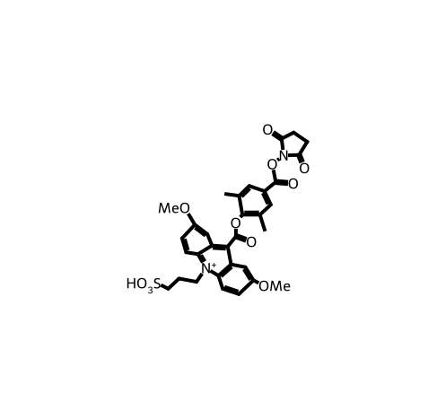 COc1ccc2c(c1)c(C(=O)Oc1c(C)cc(C(=O)ON3C(=O)CCC3=O)cc1C)c1cc(OC)ccc1[n+]2CCCS(=O)(=O)O